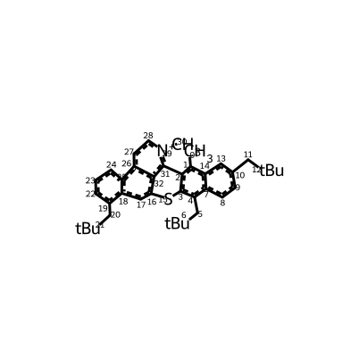 Cc1c2c(c(CC(C)(C)C)c3ccc(CC(C)(C)C)cc13)Sc1cc3c(CC(C)(C)C)cccc3c3cc[n+](C)c-2c13